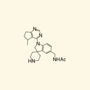 CC(=O)NCc1ccc2c(c1)C1(CCNCC1)CN2c1ncnc2c1C(C)CC2